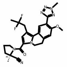 COc1cc2c(cc1-c1nnn(C)n1)-c1c(CC(C)(F)F)cc(C(=O)N3CCC[C@]3(C)C#N)n1CC2